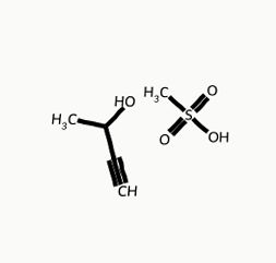 C#CC(C)O.CS(=O)(=O)O